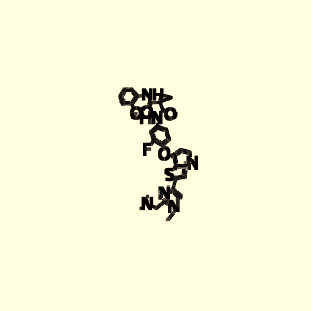 CCn1cc(-c2cc3nccc(Oc4ccc(NC(=O)C5(C(=O)Nc6ccccc6OC)CC5)cc4F)c3s2)nc1CN(C)C